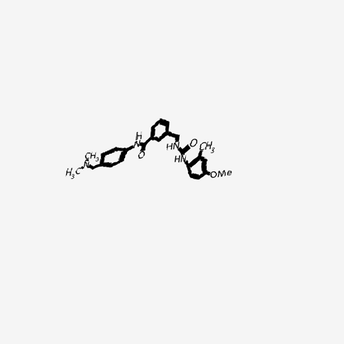 COc1ccc(NC(=O)NCc2cccc(C(=O)Nc3ccc(CN(C)C)cc3)c2)c(C)c1